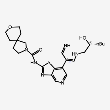 CCCC[C@@H](O)CN/C=C(\C=N)c1cncc2nc(NC(=O)N3CCC4(CCOCC4)C3)sc12